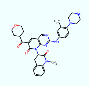 Cc1cc(Nc2ncc3cc(C(=O)C4CCOCC4)c(=O)n(C4Cc5ccccc5N(C)C4=O)c3n2)ccc1N1CCNCC1